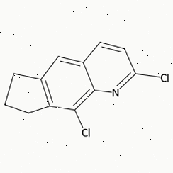 Clc1ccc2cc3c(c(Cl)c2n1)CCC3